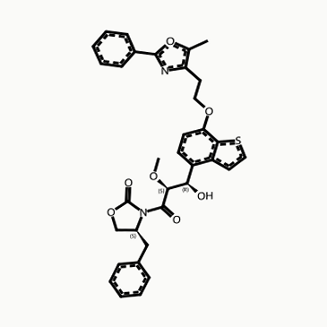 CO[C@H](C(=O)N1C(=O)OC[C@@H]1Cc1ccccc1)[C@H](O)c1ccc(OCCc2nc(-c3ccccc3)oc2C)c2sccc12